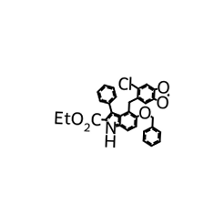 CCOC(=O)c1[nH]c2ccc(OCc3ccccc3)c(Cc3cc4c(cc3Cl)OCO4)c2c1-c1ccccc1